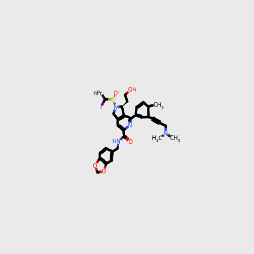 CCCC(I)[S@@+]([O-])N1Cc2cc(C(=O)NCc3ccc4c(c3)OCO4)nc(C3=CC(C#CCN(C)C)C(C)C=C3)c2[C@@H]1CCO